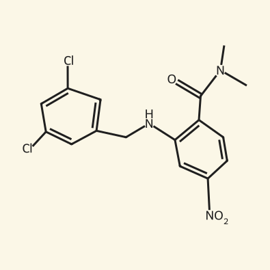 CN(C)C(=O)c1ccc([N+](=O)[O-])cc1NCc1cc(Cl)cc(Cl)c1